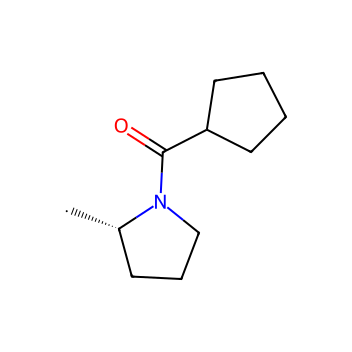 [CH2][C@H]1CCCN1C(=O)C1CCCC1